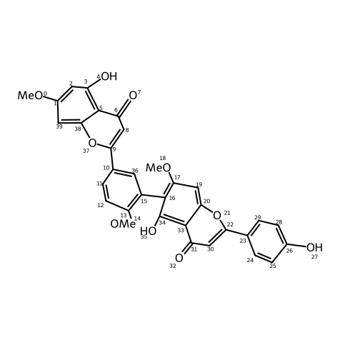 COc1cc(O)c2c(=O)cc(-c3ccc(OC)c(-c4c(OC)cc5oc(-c6ccc(O)cc6)cc(=O)c5c4O)c3)oc2c1